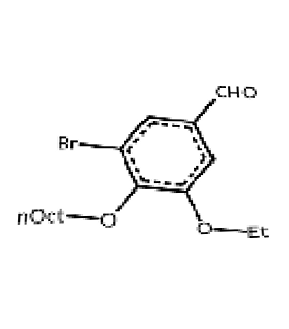 CCCCCCCCOc1c(Br)cc(C=O)cc1OCC